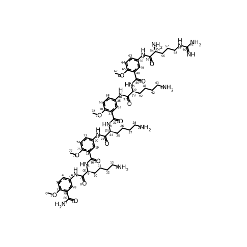 COc1ccc(NC(=O)[C@H](CCCCN)NC(=O)c2cc(NC(=O)[C@H](CCCCN)NC(=O)c3cc(NC(=O)[C@H](CCCCN)NC(=O)c4cc(NC(=O)[C@@H](N)CCCNC(=N)N)ccc4OC)ccc3OC)ccc2OC)cc1C(N)=O